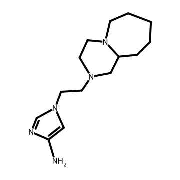 Nc1cn(CCN2CCN3CCCCCC3C2)cn1